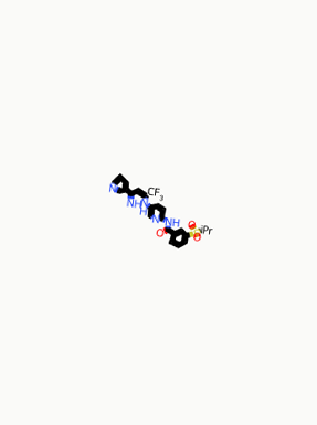 CC(C)S(=O)(=O)c1cccc(C(=O)Nc2ccc(N/C(=C\C(=N)c3cccnc3)C(F)(F)F)cn2)c1